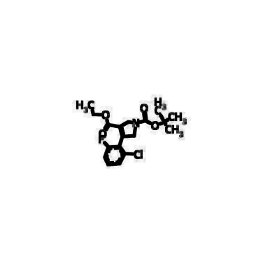 CCOC(=O)C1=C(c2c(F)cccc2Cl)CN(C(=O)OC(C)(C)C)C1